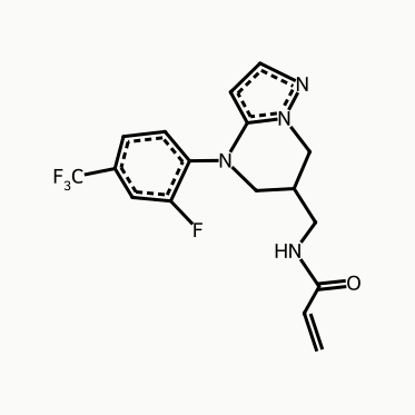 C=CC(=O)NCC1CN(c2ccc(C(F)(F)F)cc2F)c2ccnn2C1